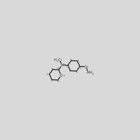 CN(C1CCC(ON)CC1)C1CCCCO1